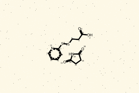 O=C(O)CCSSc1ccccn1.O=C1CCC(=O)N1